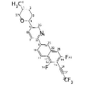 CC1CCC(c2ccc(-c3ccc4c(F)c(C#CC(F)(F)F)c(F)cc4c3)nc2)OC1